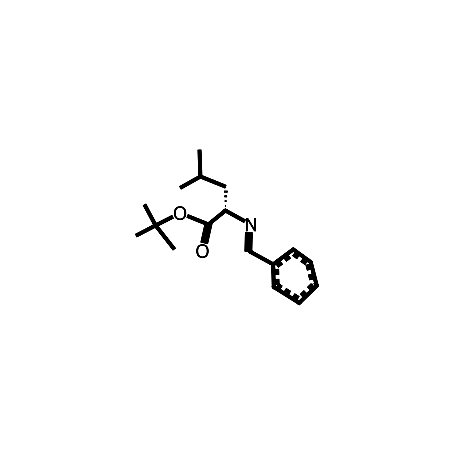 CC(C)C[C@H](N=Cc1ccccc1)C(=O)OC(C)(C)C